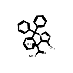 C=C(C(=O)OC)c1c(C)ncn1C(c1ccccc1)(c1ccccc1)c1ccccc1